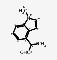 CC(C=O)c1cccc2c1ccn2C